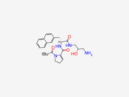 CC(C)(C)C(=O)N1CCC=C1C(=O)N[C@H](Cc1ccc2ccccc2c1)C(=O)NCC(O)CN